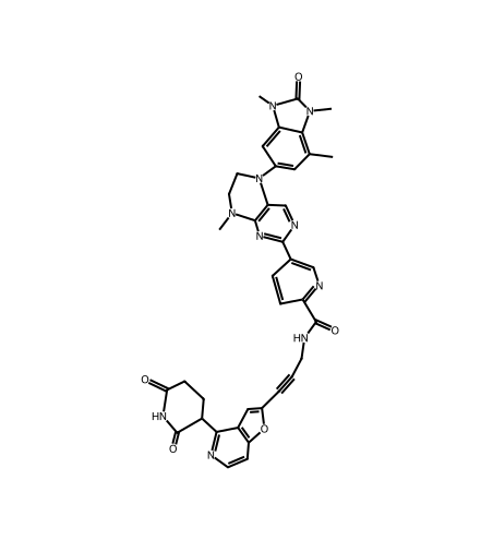 Cc1cc(N2CCN(C)c3nc(-c4ccc(C(=O)NCC#Cc5cc6c(C7CCC(=O)NC7=O)nccc6o5)nc4)ncc32)cc2c1n(C)c(=O)n2C